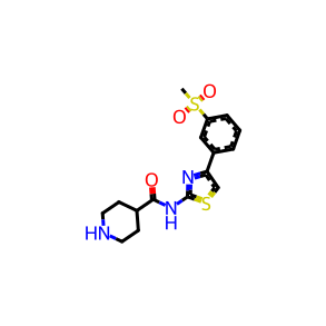 CS(=O)(=O)c1cccc(-c2csc(NC(=O)C3CCNCC3)n2)c1